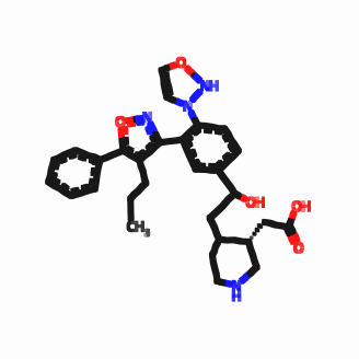 CCCc1c(-c2cc(C(O)CC3CCNC[C@H]3CC(=O)O)ccc2N2C=CON2)noc1-c1ccccc1